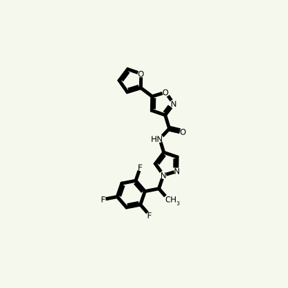 CC(c1c(F)cc(F)cc1F)n1cc(NC(=O)c2cc(-c3ccco3)on2)cn1